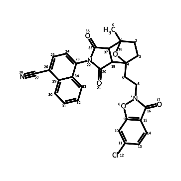 CC12CCC(CCn3oc4cc(Cl)ccc4c3=O)(O1)C1C(=O)N(c3ccc(C#N)c4ccccc34)C(=O)C12